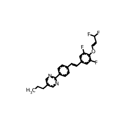 CCCc1cnc(-c2ccc(/C=C/c3cc(F)c(O/C=C/C(F)F)c(F)c3)cc2)nc1